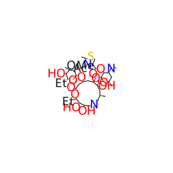 CC[C@@H]1O[C@@H](O[C@H]2[C@H](C)[C@@H](O[C@@H]3O[C@H](C)C[C@H](N(C)C)[C@H]3OC(=O)C3CSC(C)N3C(C)=O)[C@](C)(O)C[C@@H](C)CN(C)[C@H](C)[C@@H](O)[C@H](O)[C@@H](CC)OC(=O)[C@@H]2C)C[C@@](C)(OC)[C@H]1O